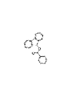 O=C(OC1c2ccccc2-c2ccccc21)c1ccccc1